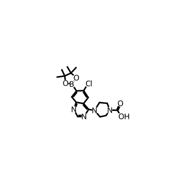 CC1(C)OB(c2cc3ncnc(N4CCN(C(=O)O)CC4)c3cc2Cl)OC1(C)C